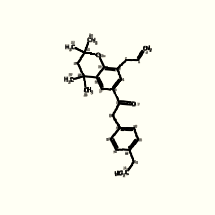 C=CCc1cc(C(=O)Cc2ccc(CC(=O)O)cc2)cc2c1OC(C)(C)CC2(C)C